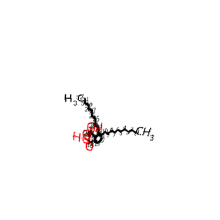 CCCCCCCCCCCc1ccc(C(=O)O)c(C(=O)O)c1CCCCCCCCCC